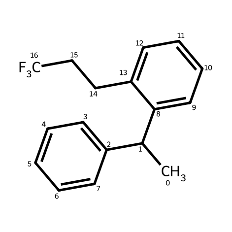 CC(c1ccccc1)c1ccccc1CCC(F)(F)F